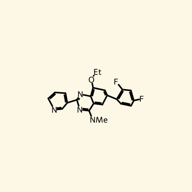 CCOc1cc(-c2ccc(F)cc2F)cc2c(NC)nc(-c3cccnc3)nc12